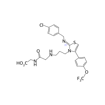 O=C(O)CNC(=O)CNCCCn1c(-c2ccc(OC(F)(F)F)cc2)cs/c1=N\Cc1ccc(Cl)cc1